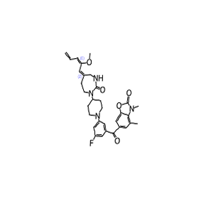 C=C/C=C(\C=C1\CCN(C2CCN(c3cc(F)cc(C(=O)c4cc(C)c5c(c4)oc(=O)n5C)c3)CC2)C(=O)NC1)OC